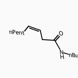 CCCCC/C=C\CC(=O)NCCCC